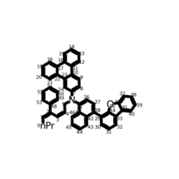 CCC/C=C(\C=C/CN(c1ccc2c3ccccc3c3ccccc3c2c1)c1ccc(-c2cccc3c2oc2ccccc23)c2ccccc12)c1ccccc1